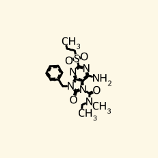 CCCS(=O)(=O)c1nc(N)c2c(n1)n(Cc1ccccc1)c(=O)n2C(=O)N(C)CC